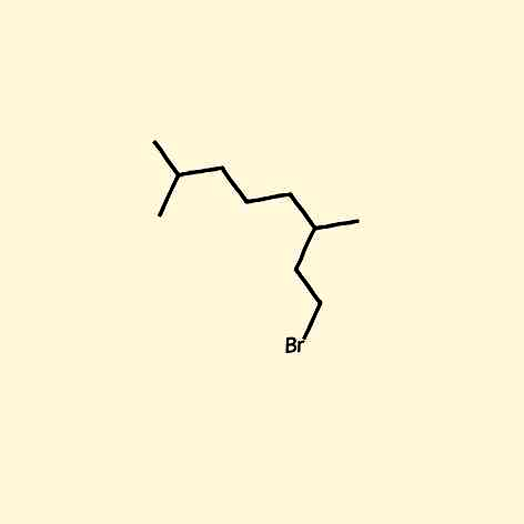 CC(C)CCCC(C)CCBr